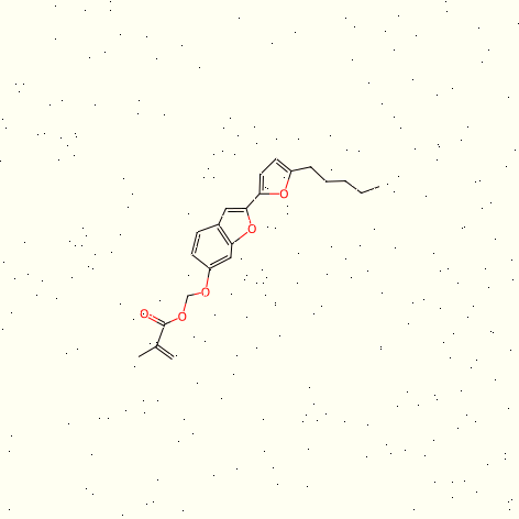 C=C(C)C(=O)OCOc1ccc2cc(-c3ccc(CCCCC)o3)oc2c1